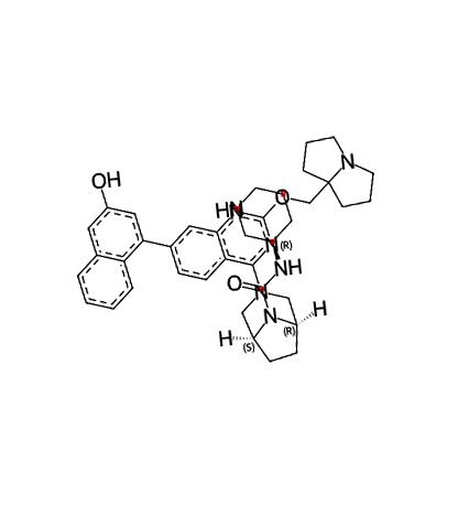 O=C(N[C@@H]1CCCNC1)N1[C@@H]2CC[C@H]1CN(c1nc(OCC34CCCN3CCC4)nc3cc(-c4cc(O)cc5ccccc45)ccc13)C2